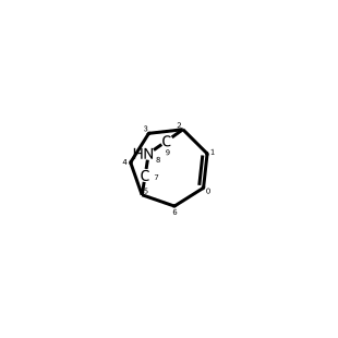 C1=CC2CCC(C1)CNC2